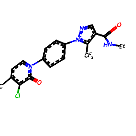 CCNC(=O)c1cnn(-c2ccc(-n3ccc(C)c(Cl)c3=O)cc2)c1C(F)(F)F